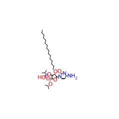 CCCCCCCCCCCCCCCCOC1[C@@H](OP(=O)(O)C(C)C)[C@@H](COC(C)C)O[C@H]1n1ccc(N)nc1=O